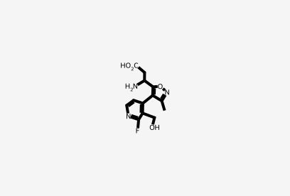 Cc1noc(C(N)CC(=O)O)c1-c1ccnc(F)c1CO